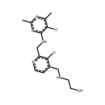 Cc1nc(C)c(Cl)c(NCc2nccc(CNCCO)c2Cl)n1